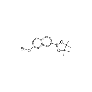 CCOc1ccc2ccc(B3OC(C)(C)C(C)(C)O3)cc2c1